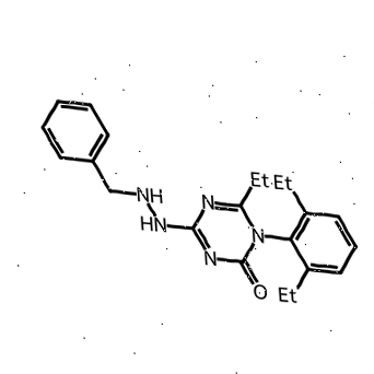 CCc1cccc(CC)c1-n1c(CC)nc(NNCc2ccccc2)nc1=O